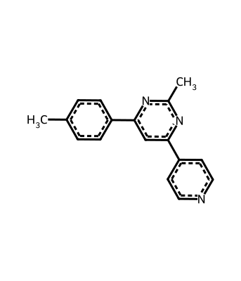 Cc1ccc(-c2cc(-c3ccncc3)nc(C)n2)cc1